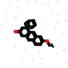 COc1ccc2cc3c(cc2c1)C1(CC(=O)C3)CC2C=CC1C2